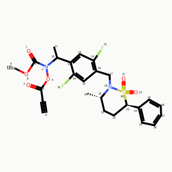 C#CC(=O)ON(C(=O)OC(C)(C)C)C(C)c1cc(F)c(CN2[C@@H](C)CC[C@H](c3ccccc3)S2(=O)=O)cc1F